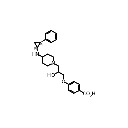 O=C(O)c1ccc(OCC(O)CN2CCC(N[C@@H]3C[C@H]3c3ccccc3)CC2)cc1